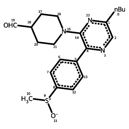 CCCCc1cnc(-c2ccc([S+](C)[O-])cc2)c(N2CCC(C=O)CC2)n1